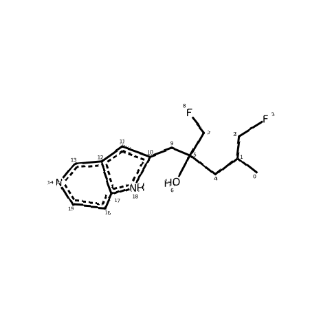 CC(CF)CC(O)(CF)Cc1cc2cnccc2[nH]1